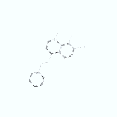 Cc1c(O)ccc2c(OCc3ccccc3)cc[n+]([O-])c12